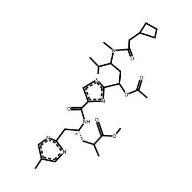 COC(=O)C(C)C[C@H](Cc1ncc(C)cn1)NC(=O)c1csc(C(CC(C(C)C)N(C)C(=O)CC2CCC2)OC(C)=O)n1